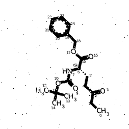 CCC(=O)CC[C@H](NC(=O)OC(C)(C)C)C(=O)OCc1ccccc1